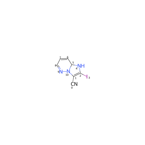 N#CC1=C(I)NC2C=CC=NN12